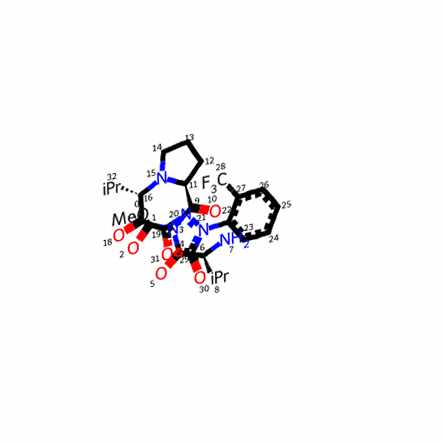 COC(=O)N(C(=O)[C@@H](N)C(C)C)C(=O)[C@@H]1CCCN1[C@H](C(=O)c1nn(-c2ccccc2C(F)(F)F)c(=O)o1)C(C)C